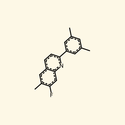 Cc1cc(C)cc(-c2ccc3cc(C)c(F)cc3n2)c1